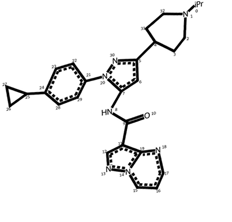 CC(C)N1CCC(c2cc(NC(=O)c3cnn4cccnc34)n(-c3ccc(C4CC4)cc3)n2)CC1